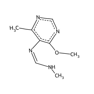 CN/C=N\c1c(C)ncnc1OC